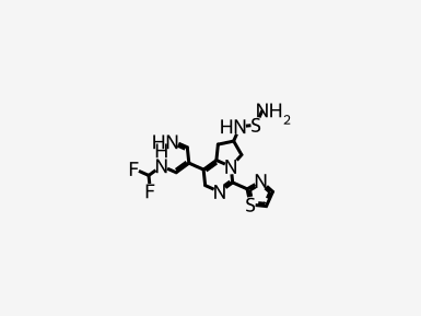 N=C/C(=C\NC(F)F)C1=C2CC(NSN)CN2C(c2nccs2)=NC1